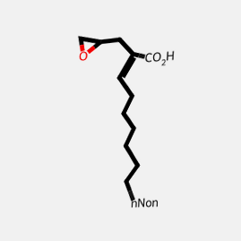 CCCCCCCCCCCCCCCC=C(CC1CO1)C(=O)O